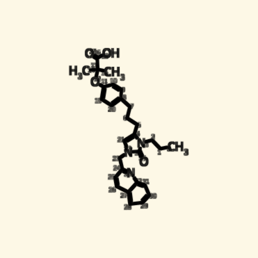 CCCn1c(CCCc2ccc(OC(C)(C)C(=O)O)cc2)cn(Cc2ccc3ccccc3n2)c1=O